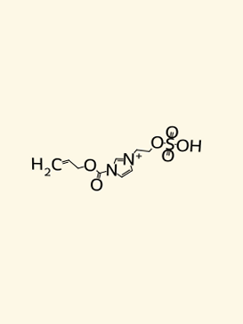 C=CCOC(=O)n1cc[n+](CCOS(=O)(=O)O)c1